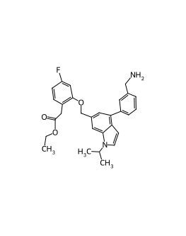 CCOC(=O)Cc1ccc(F)cc1OCc1cc(-c2cccc(CN)c2)c2ccn(C(C)C)c2c1